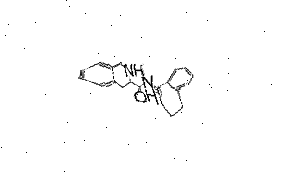 O=C(N[C@H]1CCCc2ccccc21)C1Cc2ccccc2CN1